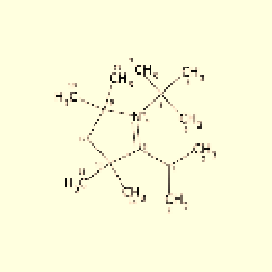 CC(C)C1=[N+](C(C)(C)C)C(C)(C)CC1(C)C